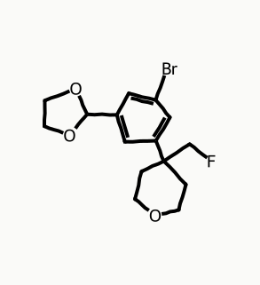 FCC1(c2cc(Br)cc(C3OCCO3)c2)CCOCC1